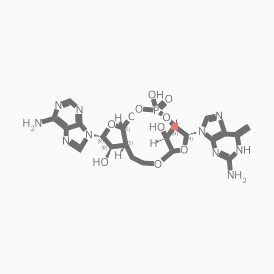 C=C1NC(N)=Nc2c1ncn2[C@@H]1OC2OCC[C@H]3[C@@H](O)[C@H](n4cnc5c(N)ncnc54)O[C@@H]3COP(=O)(O)O[C@@H]1[C@@H]2O